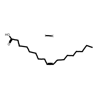 CCCCCCCC/C=C\CCCCCCCC(=O)O.[K][I]